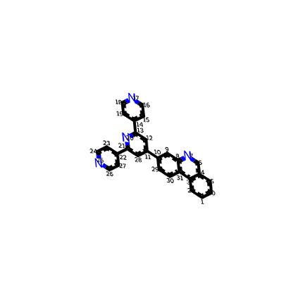 c1ccc2c(c1)cnc1cc(-c3cc(-c4ccncc4)nc(-c4ccncc4)c3)ccc12